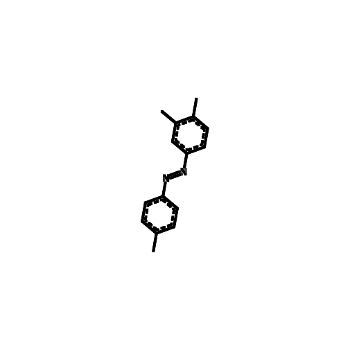 Cc1ccc(N=Nc2ccc(C)c(C)c2)cc1